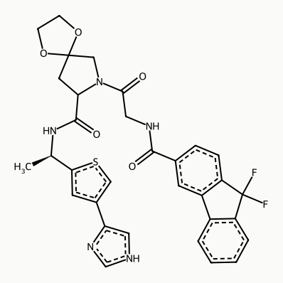 C[C@@H](NC(=O)C1CC2(CN1C(=O)CNC(=O)c1ccc3c(c1)-c1ccccc1C3(F)F)OCCO2)c1cc(-c2c[nH]cn2)cs1